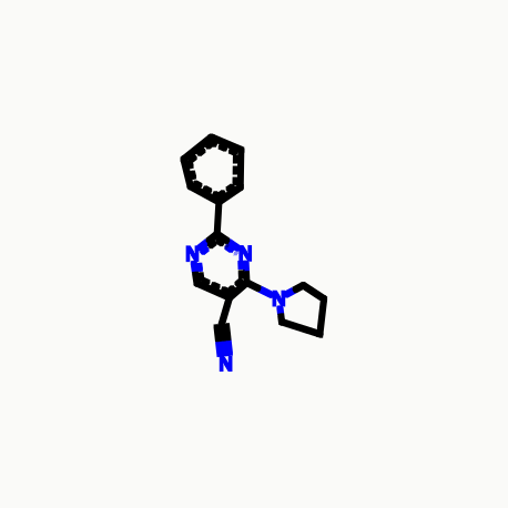 N#Cc1cnc(-c2ccccc2)nc1N1CCCC1